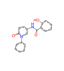 O=C(Nc1ccc(=O)n(-c2ccccc2)c1)c1ccccc1O